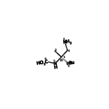 CCCC[C@](C)(CN)NC(=O)O